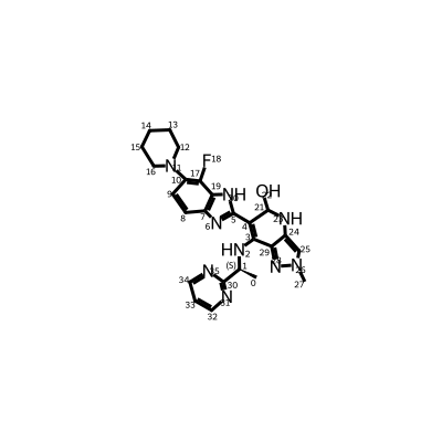 C[C@H](NC1=C(c2nc3ccc(N4CCCCC4)c(F)c3[nH]2)C(O)Nc2cn(C)nc21)c1ncccn1